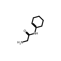 NCC(=O)NC1=CCCCC1